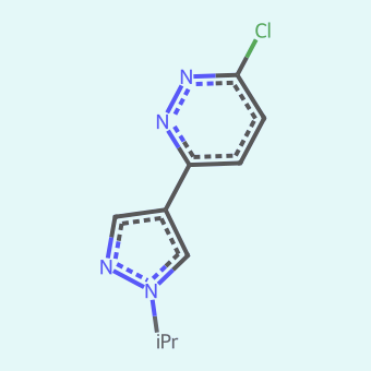 CC(C)n1cc(-c2ccc(Cl)nn2)cn1